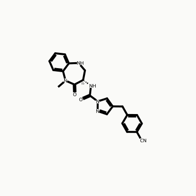 CN1C(=O)[C@@H](NC(=O)n2cc(Cc3ccc(C#N)cc3)cn2)CNc2ccccc21